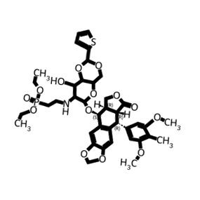 CCOP(=O)(CCNC1C(O[C@@H]2c3cc4c(cc3[C@@H](c3cc(OC)c(C)c(OC)c3)[C@H]3C(=O)OC[C@@H]32)OCO4)OC2COC(c3cccs3)OC2C1O)OCC